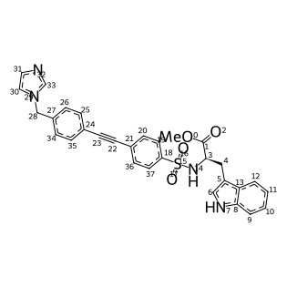 COC(=O)[C@@H](Cc1c[nH]c2ccccc12)NS(=O)(=O)c1ccc(C#Cc2ccc(Cn3ccnc3)cc2)cc1